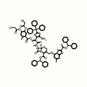 Cc1cc(SCC2=C(C(=O)OC(c3ccccc3)c3ccccc3)N3C(=O)[C@@H](NC(=O)C(=NOC(=O)c4cc(OC(=O)CCl)c(OC(=O)CCl)cc4C)c4nc(C(c5ccccc5)(c5ccccc5)c5ccccc5)sc4N)[C@H]3SC2)n2nc(C(=O)OC(c3ccccc3)c3ccccc3)nc2n1